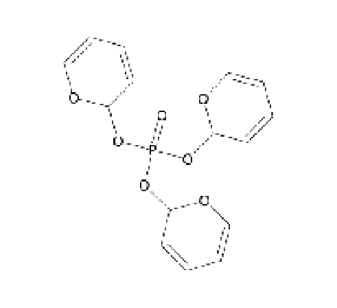 O=P(OC1C=CC=CO1)(OC1C=CC=CO1)OC1C=CC=CO1